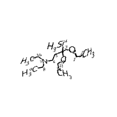 CCOC([SiH3])(CCN(CC)CC)OCC